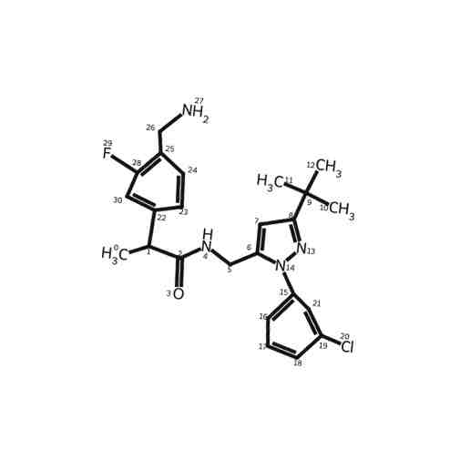 CC(C(=O)NCc1cc(C(C)(C)C)nn1-c1cccc(Cl)c1)c1ccc(CN)c(F)c1